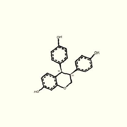 Oc1ccc([C@@H]2c3ccc(O)cc3OC[C@@H]2c2ccc(O)cc2)cc1